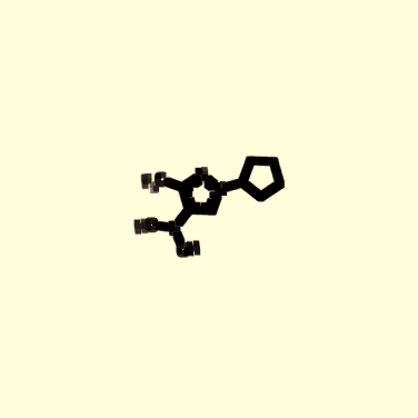 OB(O)c1cn(C2CCCC2)nc1C(F)(F)F